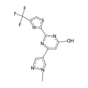 Cn1cc(-c2cc(O)nc(-c3nc(C(F)(F)F)cs3)n2)cn1